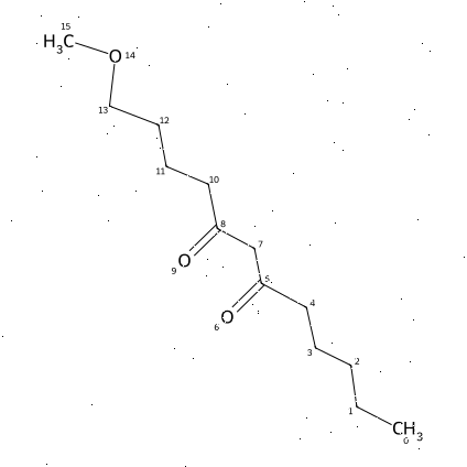 CCCCCC(=O)CC(=O)CCCCOC